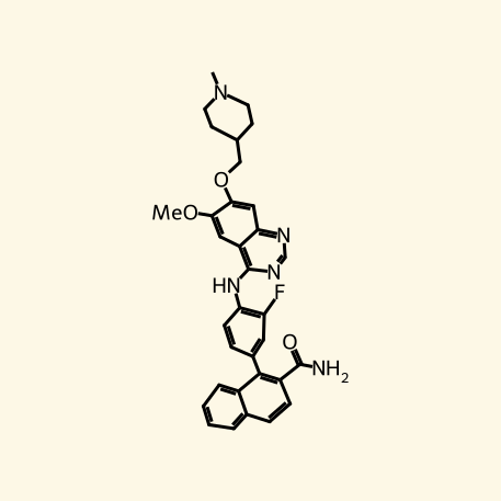 COc1cc2c(Nc3ccc(-c4c(C(N)=O)ccc5ccccc45)cc3F)ncnc2cc1OCC1CCN(C)CC1